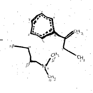 C=C(CC)c1ccccc1.CN(C)CC[P]